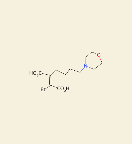 CCC(C(=O)O)=C(CCCCN1CCOCC1)C(=O)O